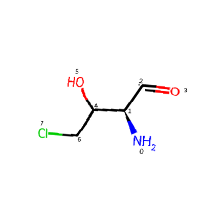 N[C@H]([C]=O)C(O)CCl